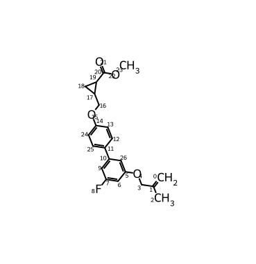 C=C(C)COc1cc(F)cc(-c2ccc(OCC3CC3C(=O)OC)cc2)c1